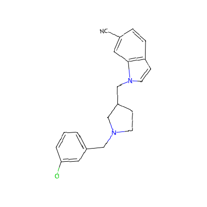 N#Cc1ccc2ccn(CC3CCN(Cc4cccc(Cl)c4)C3)c2c1